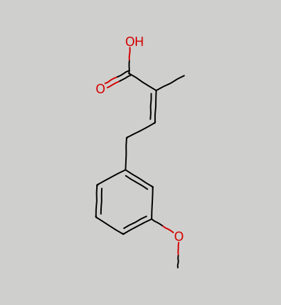 COc1cccc(CC=C(C)C(=O)O)c1